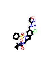 CC1(C(=O)NCc2cc3cc(Cl)c(CNc4ccon4)cc3n2S(=O)(=O)c2ccccc2)CC1